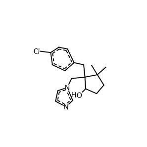 CC1(C)CCC(O)C1(Cc1ccc(Cl)cc1)Cn1ccnc1